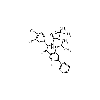 CC(C)Oc1cc(-c2ccccc2)c(F)cc1C(=O)C(NC(=O)OC(C)(C)C)c1ccc(Cl)c(Cl)c1